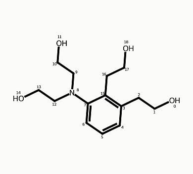 OCCc1cccc(N(CCO)CCO)c1CCO